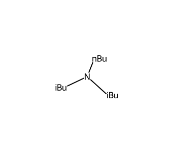 CCCCN(C(C)CC)C(C)CC